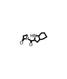 O=C1CCN1C(=O)C1CC2CCCCC2N1